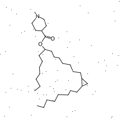 CCCCCCCCC1CC1CCCCCCCC(CCCCCCC)OC(=O)C1CCN(C)CC1